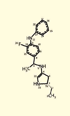 CC[C@H]1CC(NC(C)c2ccc(Nc3ccccc3)c(F)c2)=CN1